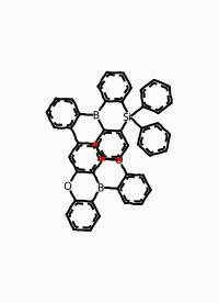 c1ccc([Si]2(c3ccccc3)c3ccccc3B(c3ccccc3-c3cc4c5c(c3)Oc3ccccc3B5c3ccccc3O4)c3ccccc32)cc1